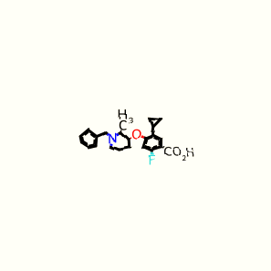 C[C@@H]1[C@H](Oc2cc(F)c(C(=O)O)cc2C2CC2)CCCN1Cc1ccccc1